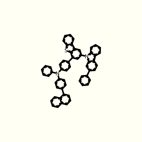 c1ccc(-c2ccc3c4ccccc4n(-c4cc(-c5ccc(N(c6ccccc6)c6ccc(-c7cccc8ccccc78)cc6)cc5)c5sc6ccccc6c5c4)c3c2)cc1